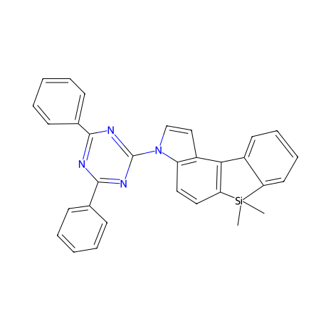 C[Si]1(C)c2ccccc2-c2c1ccc1c2ccn1-c1nc(-c2ccccc2)nc(-c2ccccc2)n1